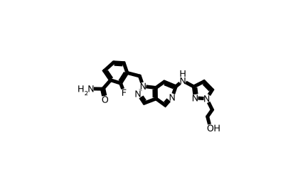 NC(=O)c1cccc(Cn2ncc3cnc(Nc4ccn(CCO)n4)cc32)c1F